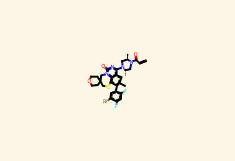 C=CC(=O)N1C[C@H](C)N(c2nc(=O)n3c4c(c(-c5cc(Br)c(F)cc5F)c(C)cc24)SCC2(CCOCC2)C3)C[C@H]1C